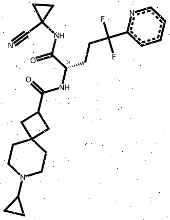 N#CC1(NC(=O)[C@H](CCC(F)(F)c2ccccn2)NC(=O)C2CC3(CCN(C4CC4)CC3)C2)CC1